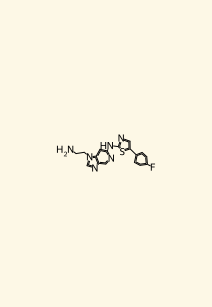 NCCn1cnc2cnc(Nc3ncc(-c4ccc(F)cc4)s3)cc21